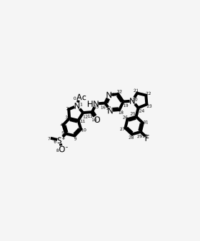 CC(=O)N1Cc2cc([S+](C)[O-])ccc2C1C(=O)Nc1ncc(N2CCCC2c2cccc(F)c2)cn1